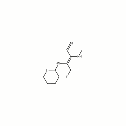 CN/C(C=N)=C(/NC1CCCCO1)C(F)F